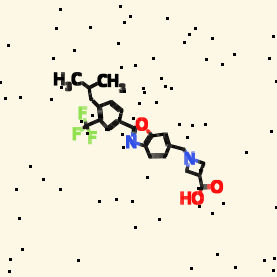 CC(C)Cc1ccc(-c2nc3ccc(CN4CC(C(=O)O)C4)cc3o2)cc1C(F)(F)F